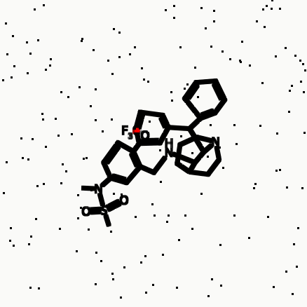 CN(c1ccc(OC(F)(F)F)c(CNC2C3CCCN(CC3)C2C(c2ccccc2)c2ccccc2)c1)S(C)(=O)=O